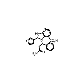 NC(=O)CC(c1cccnc1)N1c2c(C(=O)O)ccnc2NC1c1ccoc1